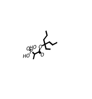 CCCC(CC)(CCC)OC(=O)C(C)P(=O)(O)O